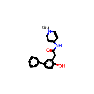 CC(C)(C)N1C=CC(NC(=O)Cc2cc(-c3ccccc3)ccc2O)=CC1